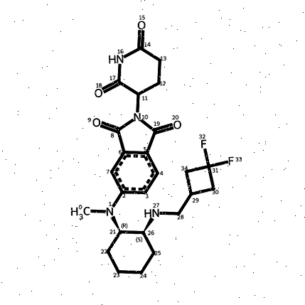 CN(c1ccc2c(c1)C(=O)N(C1CCC(=O)NC1=O)C2=O)[C@@H]1CCCC[C@@H]1NCC1CC(F)(F)C1